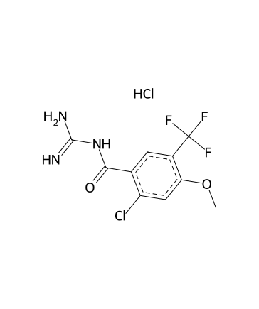 COc1cc(Cl)c(C(=O)NC(=N)N)cc1C(F)(F)F.Cl